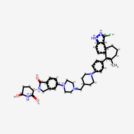 CC1=C(c2ccc(N3CCC(CN4CCN(c5ccc6c(c5)CN([C@H]5CCC(=O)NC5=O)C6=O)CC4)CC3)cc2)c2ccc3[nH]nc(F)c3c2CCC1